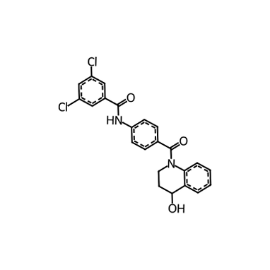 O=C(Nc1ccc(C(=O)N2CCC(O)c3ccccc32)cc1)c1cc(Cl)cc(Cl)c1